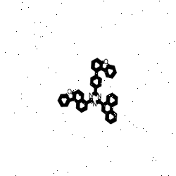 c1ccc2c(c1)cc(-c1nc(-c3ccc(-c4cccc5oc6ccccc6c45)cc3)nc(-c3cccc4c3ccc3oc5ccccc5c34)n1)c1ccccc12